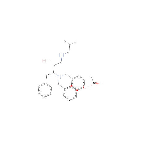 CC(=O)O.CC(C)CNC[C@@H](O)[C@H](Cc1ccccc1)N(Cc1ccccc1)Cc1ccccc1